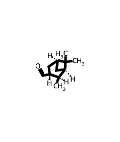 C[C@H]1[C@H](C=O)C[C@@H]2C[C@H]1C2(C)C